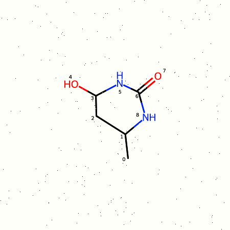 CC1CC(O)NC(=O)N1